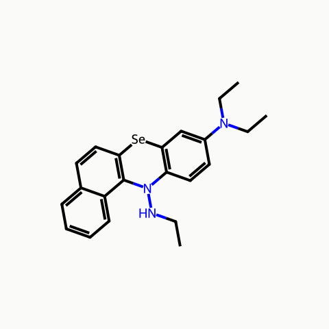 CCNN1c2ccc(N(CC)CC)cc2[Se]c2ccc3ccccc3c21